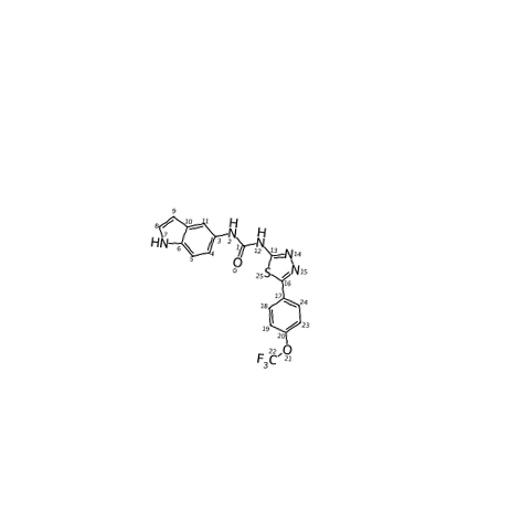 O=C(Nc1ccc2[nH]ccc2c1)Nc1nnc(-c2ccc(OC(F)(F)F)cc2)s1